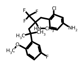 CNC(Cc1ccc(N)cc1Cl)(CC(C)(C)c1cc(F)ccc1OC)C(F)(F)F